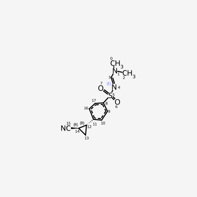 CN(C)/C=N/S(=O)(=O)c1ccc([C@@H]2C[C@H]2C#N)cc1